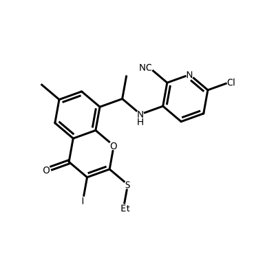 CCSc1oc2c(C(C)Nc3ccc(Cl)nc3C#N)cc(C)cc2c(=O)c1I